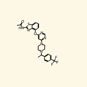 CC(=O)Nc1nc2c(Oc3cc(N4CCN(C(C)c5ccc(C(F)(F)F)cc5)CC4)ncn3)cccc2s1